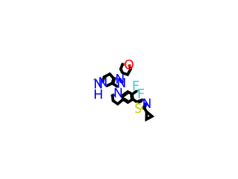 CNN1CCc2c(c(N3CCCc4cc(-c5cnc(C6CC6)s5)c(C(F)F)cc43)nn2C2CCOCC2)C1